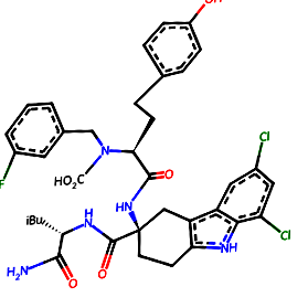 CCC(C)[C@H](NC(=O)[C@@]1(NC(=O)[C@H](CCc2ccc(O)cc2)N(Cc2cccc(F)c2)C(=O)O)CCc2[nH]c3c(Cl)cc(Cl)cc3c2C1)C(N)=O